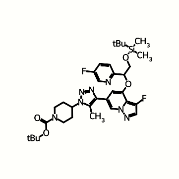 Cc1c(-c2cc(OC(CO[Si](C)(C)C(C)(C)C)c3ccc(F)cn3)c3c(F)cnn3c2)nnn1C1CCN(C(=O)OC(C)(C)C)CC1